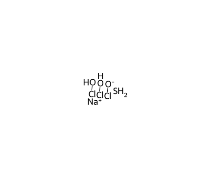 OCl.OCl.S.[Na+].[O-]Cl